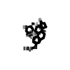 C1CNCCN1.C[C@]12CC[C@@H]3c4ccc(OS(=O)(=O)O)cc4CC[C@H]3[C@@H]1CCC2=O.P